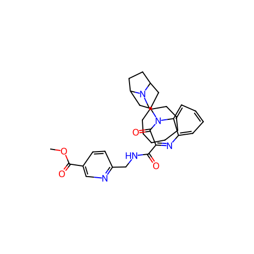 COC(=O)c1ccc(CNC(=O)c2nc3ccccc3n(C3CC4CCC(C3)N4C3CCCCCCC3)c2=O)nc1